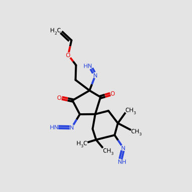 C=COCCC1(N=N)C(=O)C(N=N)C2(CC(C)(C)C(N=N)C(C)(C)C2)C1=O